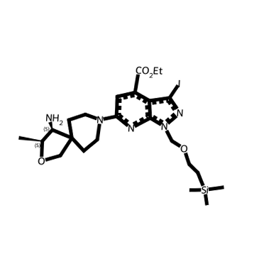 CCOC(=O)c1cc(N2CCC3(CC2)CO[C@@H](C)[C@H]3N)nc2c1c(I)nn2COCC[Si](C)(C)C